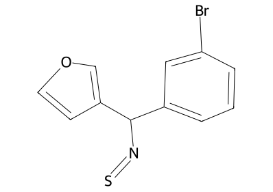 S=NC(c1ccoc1)c1cccc(Br)c1